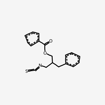 O=C(OCC(CN=C=S)Cc1ccccc1)c1ccccc1